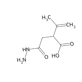 C=C(C)C(CC(=O)NN)C(=O)O